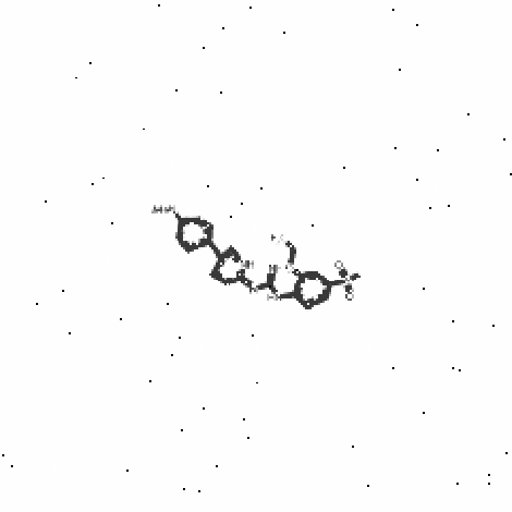 CNc1ccc(-c2cc/c(=N/C(=N)Nc3ccc(S(C)(=O)=O)cc3OCC(F)(F)F)[nH]c2)cc1